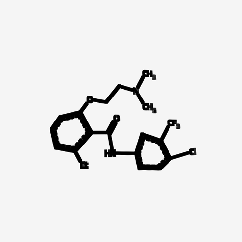 CCc1cccc(OCCN(C)C)c1C(=O)Nc1ccc(Cl)c(C(F)(F)F)c1